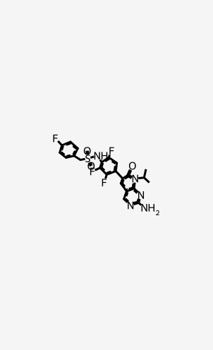 CC(C)n1c(=O)c(-c2cc(F)c(NS(=O)(=O)Cc3ccc(F)cc3)c(F)c2F)cc2cnc(N)nc21